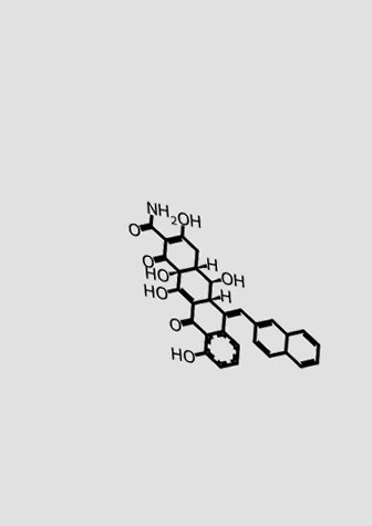 NC(=O)C1=C(O)C[C@@H]2[C@@H](O)[C@H]3C(=C(O)[C@]2(O)C1=O)C(=O)c1c(O)cccc1/C3=C\C1=CC2C=CC=CC2C=C1